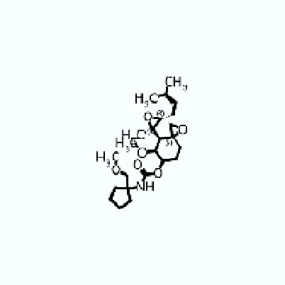 COCC1(NC(=O)OC2CC[C@]3(CO3)C([C@@]3(C)O[C@@H]3CC=C(C)C)C2OC)CCCC1